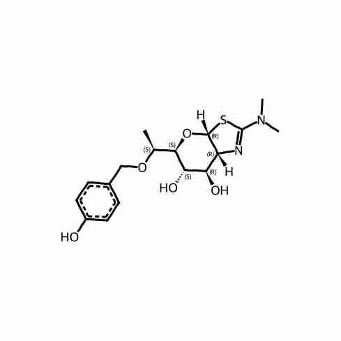 C[C@H](OCc1ccc(O)cc1)[C@H]1O[C@@H]2SC(N(C)C)=N[C@@H]2[C@@H](O)[C@@H]1O